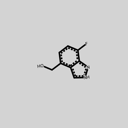 OCc1ccc(F)c2n[nH]cc12